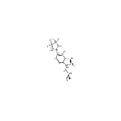 Cc1c(B2OC(C)(C)C(C)(C)O2)ccc2c1cnn2CCO